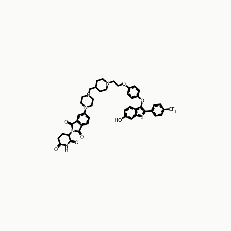 O=C1CCC(N2C(=O)c3ccc(N4CCN(CC5CCN(CCOc6ccc(Oc7c(-c8ccc(C(F)(F)F)cc8)sc8cc(O)ccc78)cc6)CC5)CC4)cc3C2=O)C(=O)N1